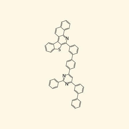 c1ccc(-c2cccc(-c3cc(-c4ccc(-c5cccc(-c6nc7c8ccccc8ccc7c7c6sc6ccccc67)c5)cc4)nc(-c4ccccc4)n3)c2)cc1